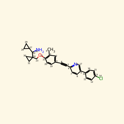 Cc1cc(C#Cc2ccc(-c3ccc(Cl)cc3)cn2)ccc1OCC1(C(N)C2CC2)CC1